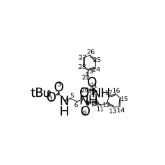 CC(C)(C)OC(=O)NCCNC(=O)[C@H](Cc1ccccc1)NC(=O)OCc1ccccc1